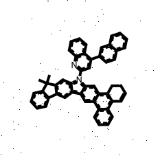 CC1(C)c2ccccc2-c2cc3c4cc5c(cc4n(-c4cc(-c6ccc7ccccc7c6)c6ccccc6n4)c3cc21)c1c(c2ccccc25)C=CCC1